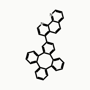 c1ccc2c(c1)-c1ccccc1-c1ccc(-c3ccnc4c3ccc3cccnc34)cc1-c1ccccc1-2